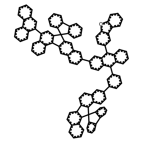 c1cc(-c2ccc3c4c(ccc3c2)-c2ccc3ccccc3c2C42c3ccccc3-c3ccccc32)cc(-c2c3ccccc3c(-c3ccc4oc5ccccc5c4c3)c3cc(-c4ccc5cc6c(cc5c4)C4(c5ccccc5-c5ccccc54)c4cc(-c5cc7ccccc7c7ccccc57)c5ccccc5c4-6)ccc23)c1